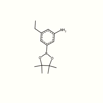 CCc1cc(N)cc(B2OC(C)(C)C(C)(C)O2)c1